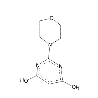 Oc1cc(O)nc(N2CCOCC2)n1